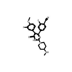 CNC1CCN(c2nc(-c3ccc(C#N)c(F)c3)c(-c3ccc(OC)c(F)c3)c(=O)[nH]2)CC1